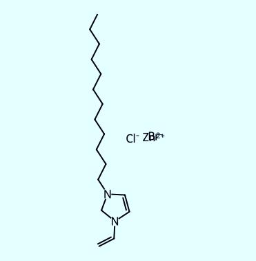 C=CN1C=CN(CCCCCCCCCCCC)C1.[Br-].[Cl-].[Zn+2]